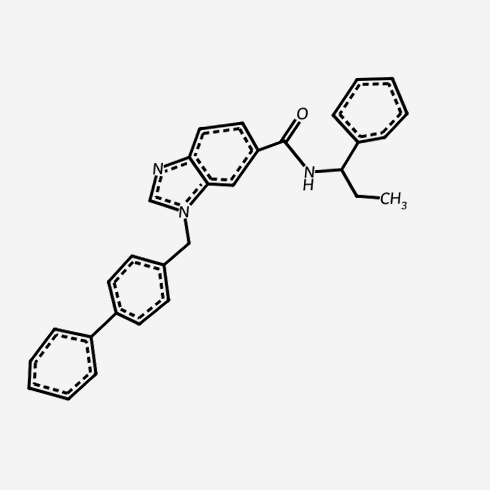 CCC(NC(=O)c1ccc2ncn(Cc3ccc(-c4ccccc4)cc3)c2c1)c1ccccc1